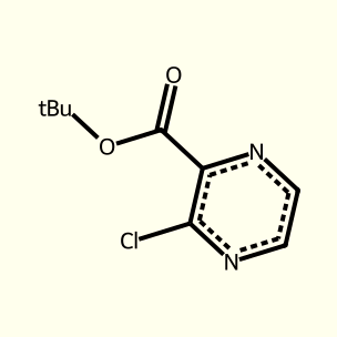 CC(C)(C)OC(=O)c1nccnc1Cl